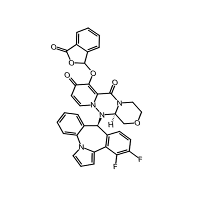 O=C1OC(Oc2c3n(ccc2=O)N([C@@H]2c4ccccc4-n4cccc4-c4c2ccc(F)c4F)[C@@H]2COCCN2C3=O)c2ccccc21